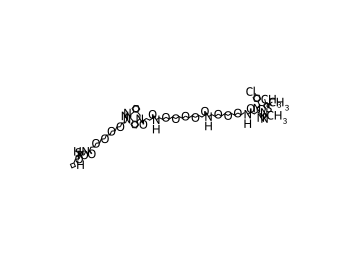 Cc1sc2c(c1C)C(c1ccc(Cl)cc1)=NC(CC(=O)NCCOCCOCCOCCNC(=O)CCOCCOCCOCCOCCNC(=O)CCC(=O)N1Cc3ccccc3-c3nnn(CCOCCOCCOCCOCCC(=O)NO[PH](=S)OCC4CCC4)c3-c3ccccc31)c1nnc(C)n1-2